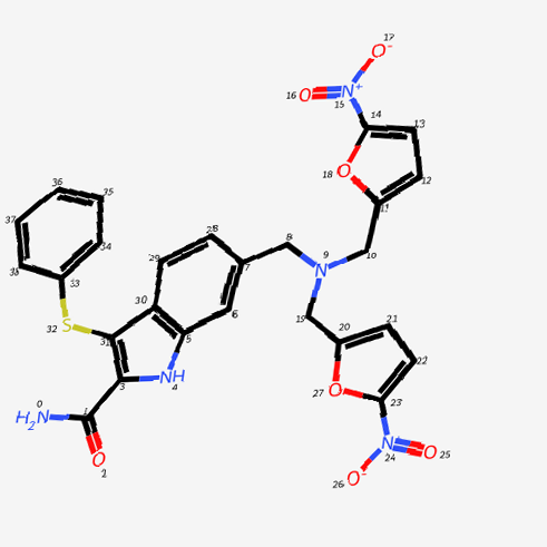 NC(=O)c1[nH]c2cc(CN(Cc3ccc([N+](=O)[O-])o3)Cc3ccc([N+](=O)[O-])o3)ccc2c1Sc1ccccc1